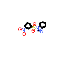 O=[N+]([O-])c1cccc(S(=O)(=O)n2cnc3ccccc32)c1